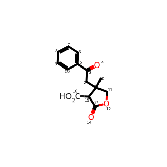 CC1(CC(=O)c2ccccc2)COC(=O)C1C(=O)O